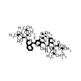 C[C@@H](Nc1nc(S(C)(=O)=O)nc2c(F)c(-c3nc(N(C(=O)OC(C)(C)C)C(=O)OC(C)(C)C)cc4ccccc34)nc(O)c12)c1cccnc1N(C(=O)OC(C)(C)C)C(=O)OC(C)(C)C